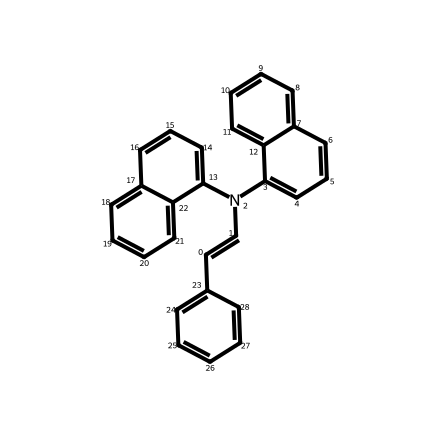 C(=CN(c1cccc2ccccc12)c1cccc2ccccc12)c1ccccc1